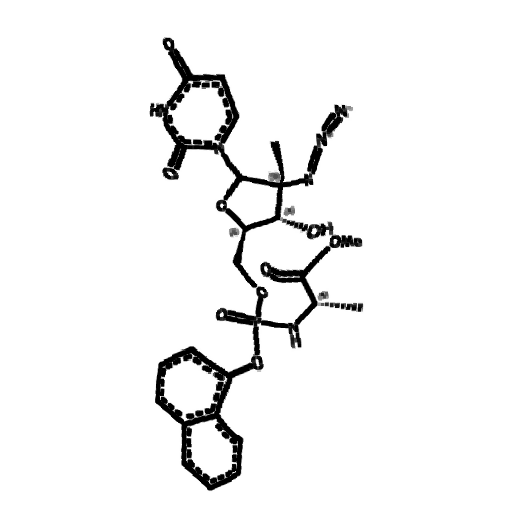 COC(=O)[C@H](C)NP(=O)(OC[C@H]1OC(n2ccc(=O)[nH]c2=O)[C@](C)(N=[N+]=[N-])[C@@H]1O)Oc1cccc2ccccc12